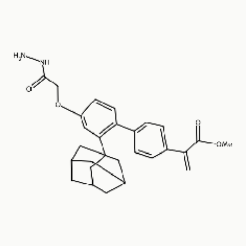 C=C(C(=O)OC)c1ccc(-c2ccc(OCC(=O)NN)cc2C23CC4CC(CC(C4)C2)C3)cc1